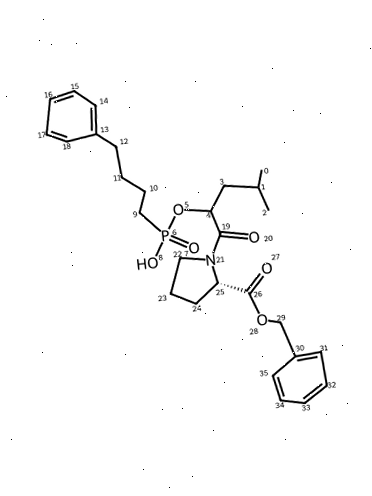 CC(C)CC(OP(=O)(O)CCCCc1ccccc1)C(=O)N1CCC[C@H]1C(=O)OCc1ccccc1